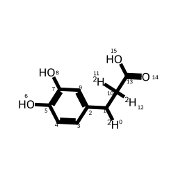 [2H]C(c1ccc(O)c(O)c1)C([2H])([2H])C(=O)O